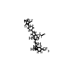 C=CCO[C@H]1CN(C2CCN(c3c(C)noc3C)CC2)CC1NC(=O)CNc1n[nH]c2ccc(C(F)(F)F)cc12